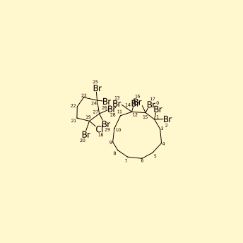 BrC1(Br)CCCCCCCCCC(Br)(Br)C1(Br)Br.ClC1(Br)CCCC(Br)(Br)C1(Br)Br